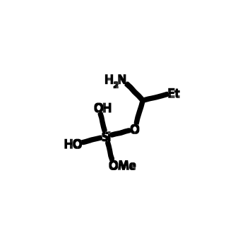 CCC(N)O[Si](O)(O)OC